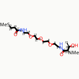 CN[C@H](C(=O)NCCOCCOCCOCCNC(=O)CCSC)[C@@H](C)O